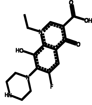 CCn1cc(C(=O)O)c(=O)c2cc(F)c(N3CCNCC3)c(O)c21